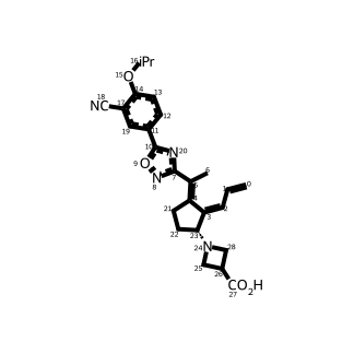 C=C/C=C1\C(=C(/C)c2noc(-c3ccc(OC(C)C)c(C#N)c3)n2)CC[C@H]1N1CC(C(=O)O)C1